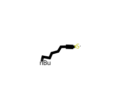 CCCCCCCCCC#C[S]